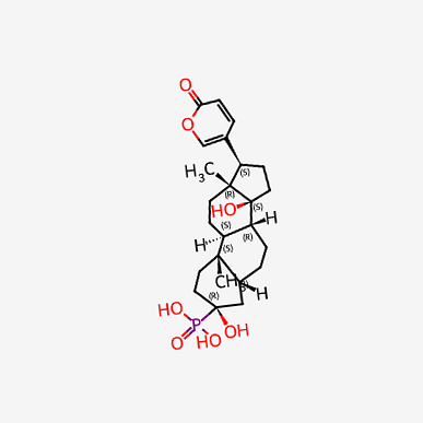 C[C@]12CC[C@@](O)(P(=O)(O)O)C[C@H]1CC[C@@H]1[C@@H]2CC[C@]2(C)[C@@H](c3ccc(=O)oc3)CC[C@]12O